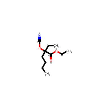 CCCCC(CC)(OC#N)C(=O)OCC